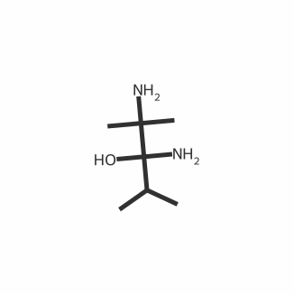 CC(C)C(N)(O)C(C)(C)N